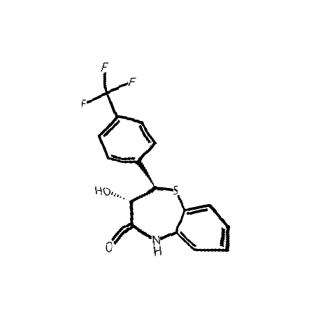 O=C1Nc2ccccc2S[C@H](c2ccc(C(F)(F)F)cc2)[C@H]1O